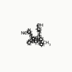 Cc1ccccc1C1=CC=CC(COc2cc(OCc3cncc(C#N)c3)c(CN3CCCC[C@H]3C(=O)O)cc2Cl)(OCCCN2CCC(CO)CC2)C1C